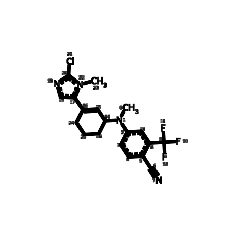 CN(c1ccc(C#N)c(C(F)(F)F)c1)C1C=C(c2cnc(Cl)n2C)CCC1